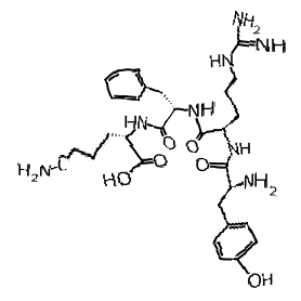 N=C(N)NCCC[C@@H](NC(=O)[C@@H](N)Cc1ccc(O)cc1)C(=O)N[C@@H](Cc1ccccc1)C(=O)N[C@@H](CCCCN)C(=O)O